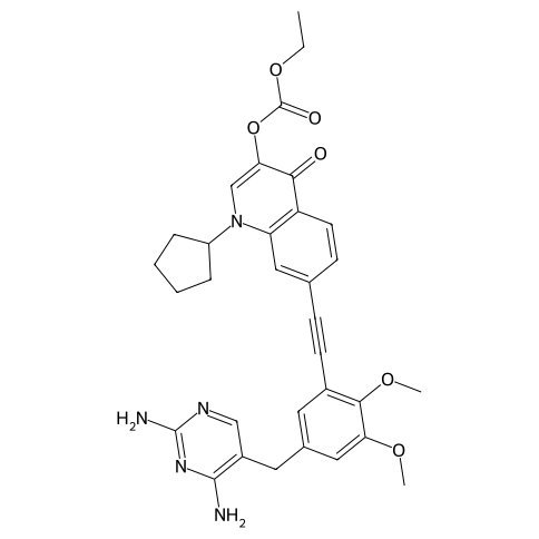 CCOC(=O)Oc1cn(C2CCCC2)c2cc(C#Cc3cc(Cc4cnc(N)nc4N)cc(OC)c3OC)ccc2c1=O